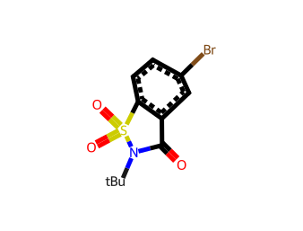 CC(C)(C)N1C(=O)c2cc(Br)ccc2S1(=O)=O